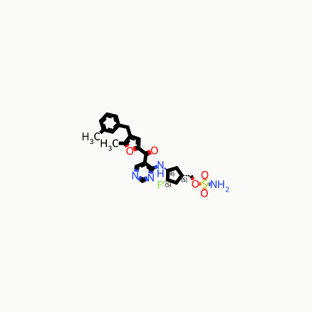 Cc1cccc(Cc2cc(C(=O)c3cncnc3N[C@@H]3C[C@H](COS(N)(=O)=O)C[C@@H]3F)oc2C)c1